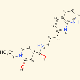 O=C(O)CN1CCC(C(=O)NCCCc2ccc3c(n2)NCCC3)CC1=O